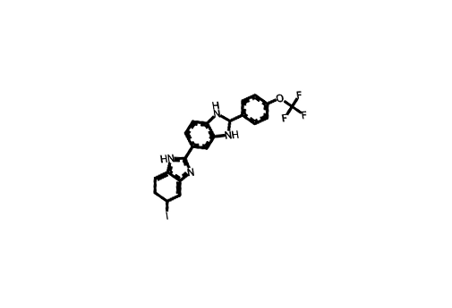 FC(F)(F)Oc1ccc(C2Nc3ccc(-c4nc5c([nH]4)=CCC(I)C=5)cc3N2)cc1